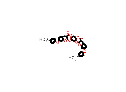 O=C1OC2(CCC3(CC2)OC(=O)C(=Cc2ccc(Oc4ccc(C(=O)O)cc4)cc2)C(=O)O3)OC(=O)C1=Cc1ccc(Oc2ccc(C(=O)O)cc2)cc1